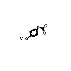 CSc1ccc(NC([O])=O)cc1